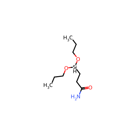 CCCO[SiH](CCC(N)=O)OCCC